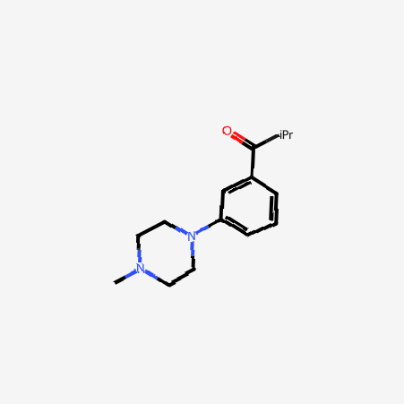 CC(C)C(=O)c1cccc(N2CCN(C)CC2)c1